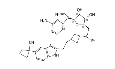 CC(C)N(C[C@H]1O[C@@H](n2cnc3c(N)ncnc32)[C@H](O)[C@@H]1O)C1CC(CCc2nc3cc(C4(C#N)CCC4)ccc3[nH]2)C1